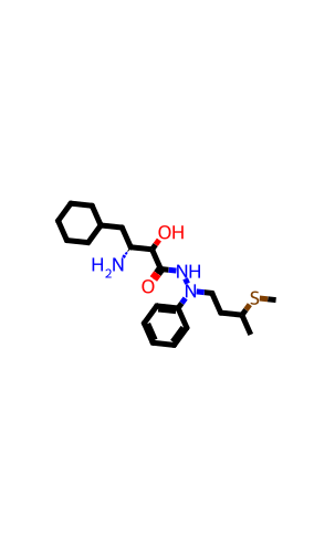 CSC(C)CCN(NC(=O)C(O)[C@H](N)CC1CCCCC1)c1ccccc1